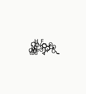 C=CCOC(=O)c1cn(C2CC2)c2c(OC)c(N3C[C@@H]4CCCN(C(=O)OC(C)(C)C)[C@@H]4C3)c(F)cc2c1=O